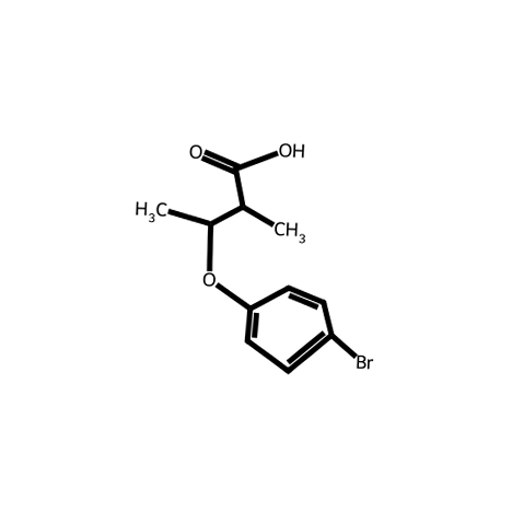 CC(Oc1ccc(Br)cc1)C(C)C(=O)O